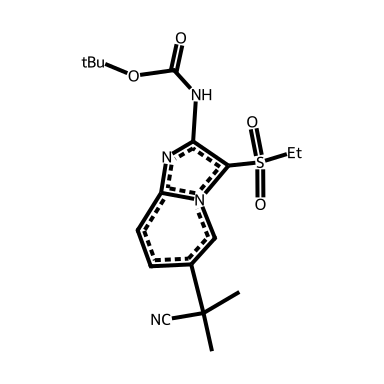 CCS(=O)(=O)c1c(NC(=O)OC(C)(C)C)nc2ccc(C(C)(C)C#N)cn12